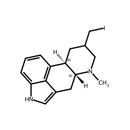 CN1CC(CI)C[C@@H]2c3cccc4[nH]cc(c34)C[C@H]21